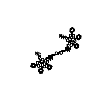 [N-]=[N+]=NC[C@H]1O[C@H](OCc2cn(CCOCCOCCn3cc(CO[C@H]4O[C@H](CN=[N+]=[N-])[C@@H](OC(=O)c5ccccc5)[C@H](OC(=O)c5ccccc5)[C@@H]4OC(=O)c4ccccc4)nn3)nn2)[C@@H](OC(=O)c2ccccc2)[C@@H](OC(=O)c2ccccc2)[C@@H]1OC(=O)c1ccccc1